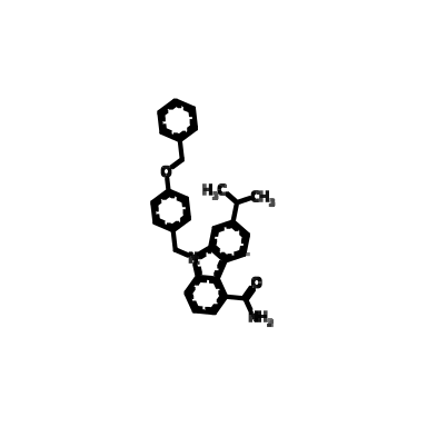 CC(C)c1c[c]c2c3c(C(N)=O)cccc3n(Cc3ccc(OCc4ccccc4)cc3)c2c1